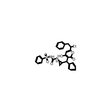 CCC(Cc1ccccc1)c1cc(O)c(C(c2ccccc2)C2CC2NC(=O)NS(=O)(=O)c2ccccc2)c(=O)o1